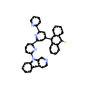 Fc1c2ccccc2c(-c2cc(-c3ccccn3)nc(-c3cccc(-n4c5ccccc5c5ccncc54)n3)c2)c2ccccc12